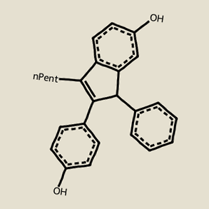 CCCCCC1=C(c2ccc(O)cc2)C(c2ccccc2)c2cc(O)ccc21